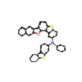 C1=Cc2c(sc3cc(N(c4ccccc4)c4ccc5sc6ccc7c8cc9ccccc9cc8oc7c6c5c4)ccc23)CC1